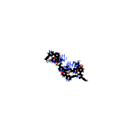 CC#Cc1cncc(-c2cccc(C3(c4ccnc(C(F)CN5C(=O)C(c6cccc(-c7cncc(C#CC)c7)c6)(c6cc(C(F)CN7C(=O)C(c8ccc(CC)nc8)(c8cccc(-c9cncc(C#CC)c9)c8)N=C7N)ccn6)N=C5N)c4)N=C(N)N(C)C3=O)c2)c1